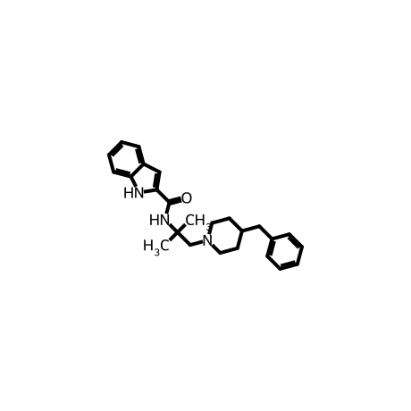 CC(C)(CN1CCC(Cc2ccccc2)CC1)NC(=O)c1cc2ccccc2[nH]1